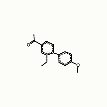 CCc1cc(C(C)=O)ccc1-c1ccc(OC)cc1